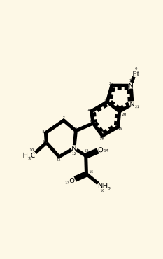 CCn1cc2cc(C3CCC(C)CN3C(=O)C(N)=O)ccc2n1